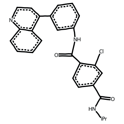 CC(C)NC(=O)c1ccc(C(=O)Nc2cccc(-c3ccnc4ccccc34)c2)c(Cl)c1